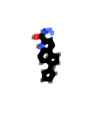 NC(=O)c1ccc2c(n1)CCC1C2=CCC1C1CCCC1